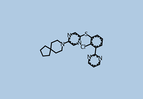 Clc1c(Sc2cnc(N3CCC4(CCCC4)CC3)cn2)cccc1-c1ncccn1